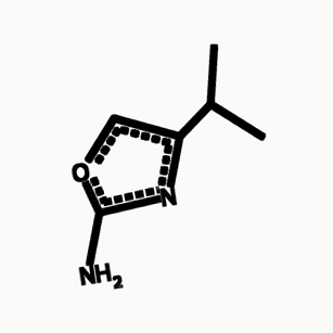 CC(C)c1coc(N)n1